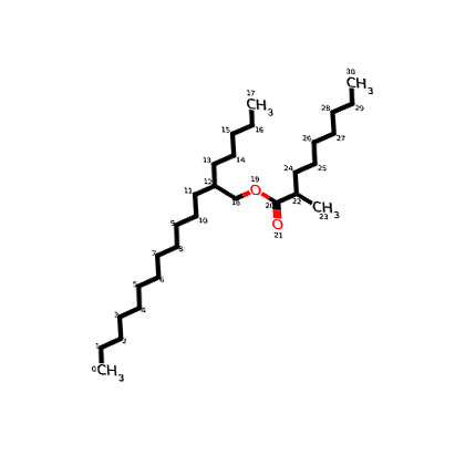 CCCCCCCCCCCCC(CCCCC)COC(=O)C(C)CCCCCCC